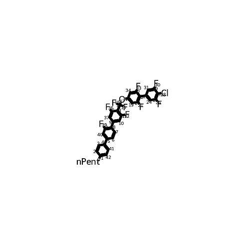 CCCCCc1ccc(-c2ccc(-c3cc(F)c(C(F)(F)Oc4cc(F)c(-c5cc(F)c(Cl)c(F)c5)c(F)c4)c(F)c3)c(F)c2)cc1